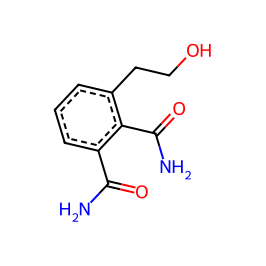 NC(=O)c1cccc(CCO)c1C(N)=O